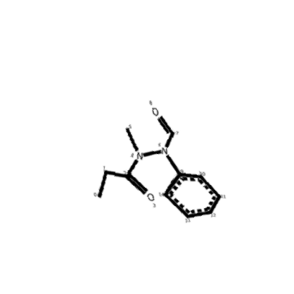 CCC(=O)N(C)N(C=O)c1ccccc1